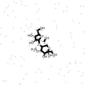 NO[C@@H]1C(O[C@]2(CO)OC(CO)[C@@H](O)[C@@H]2O)CO[C@](O)(CO)[C@H]1O